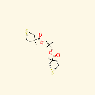 CC(C)(COC(=O)C1(C)CCC2SC2C1)COC(=O)C1(C)CCC2SC2C1